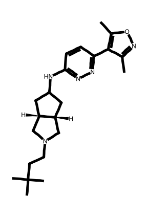 Cc1noc(C)c1-c1ccc(NC2C[C@@H]3CN(CCC(C)(C)C)C[C@@H]3C2)nn1